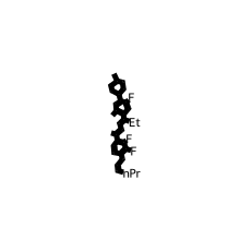 CCC/C=C\Cc1ccc(/C(C)=C/C=C(\CC)c2cc(F)c(C3CCC(C)CC3)cc2C)c(F)c1F